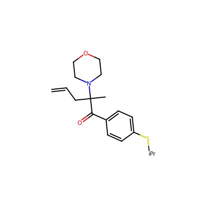 C=CCC(C)(C(=O)c1ccc(SC(C)C)cc1)N1CCOCC1